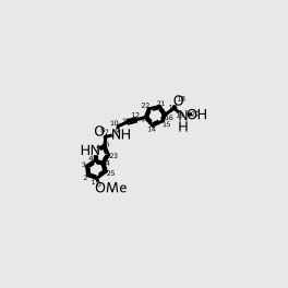 COc1ccc2[nH]c(C(=O)NCC#Cc3ccc(C(=O)NO)cc3)cc2c1